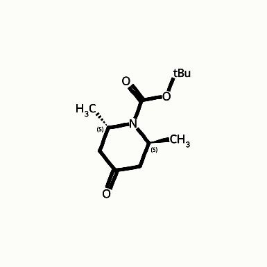 C[C@H]1CC(=O)C[C@H](C)N1C(=O)OC(C)(C)C